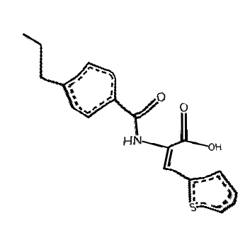 CCCc1ccc(C(=O)NC(=Cc2cccs2)C(=O)O)cc1